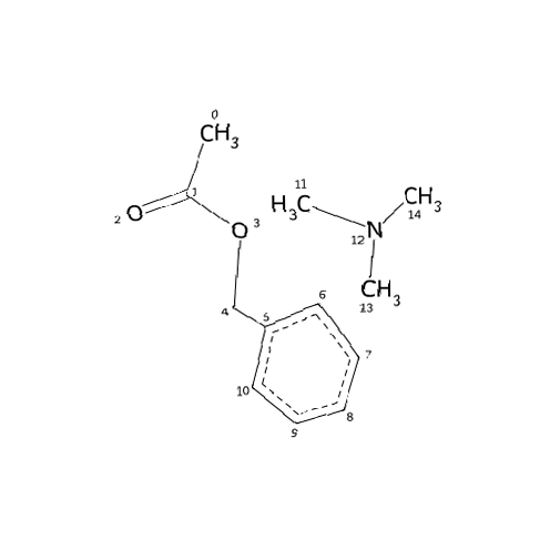 CC(=O)OCc1ccccc1.CN(C)C